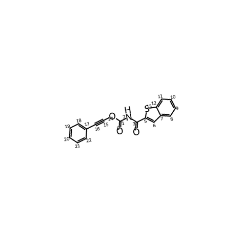 O=C(NC(=O)c1cc2ccccc2s1)OC#Cc1ccccc1